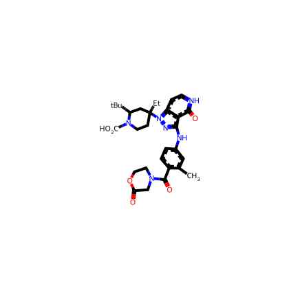 CCC1(n2nc(Nc3ccc(C(=O)N4CCOC(=O)C4)c(C)c3)c3c(=O)[nH]ccc32)CCN(C(=O)O)C(C(C)(C)C)C1